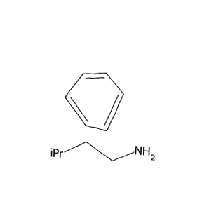 CC(C)CCN.c1ccccc1